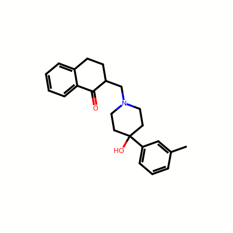 Cc1cccc(C2(O)CCN(CC3CCc4ccccc4C3=O)CC2)c1